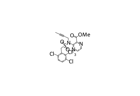 CC#CCN(c1nccnc1C(=O)OC)S(=O)(=O)Cc1c(Cl)ccc(Cl)c1C(F)(F)F